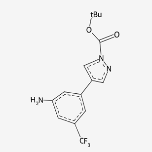 CC(C)(C)OC(=O)n1cc(-c2cc(N)cc(C(F)(F)F)c2)cn1